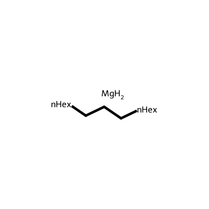 [CH2]CCCCCCCCCCCCCC.[MgH2]